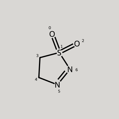 O=S1(=O)CCN=N1